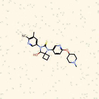 Cc1cc(N2C(=S)N(c3ccc(OC4CCN(C)CC4)nc3)C3(CCC3)C2O)cnc1C#N